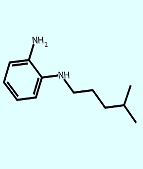 CC(C)CCCNc1ccccc1N